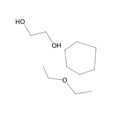 C1CCCCC1.CCOCC.OCCO